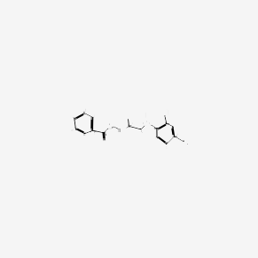 Cc1cc(I)ccc1NCC(F)ONC(=O)c1ccccc1